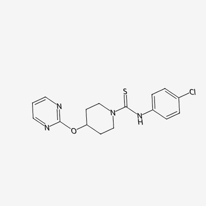 S=C(Nc1ccc(Cl)cc1)N1CCC(Oc2ncccn2)CC1